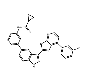 O=C(Nc1cncc(-c2cnc3[nH]nc(-c4cc5c(-c6cccc(F)c6)ccnc5[nH]4)c3c2)c1)C1CC1